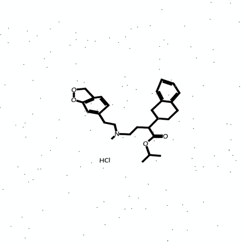 CC(C)OC(=O)C(CCN(C)CCc1ccc2c(c1)OOC2)C1CCc2ccccc2C1.Cl